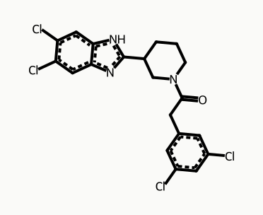 O=C(Cc1cc(Cl)cc(Cl)c1)N1CCCC(c2nc3cc(Cl)c(Cl)cc3[nH]2)C1